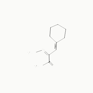 CON=C(C=C1CCCCC1)C(=O)OC